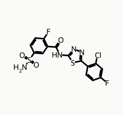 NS(=O)(=O)c1ccc(F)c(C(=O)Nc2nnc(-c3ccc(F)cc3Cl)s2)c1